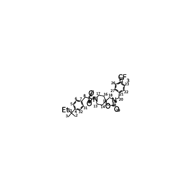 CCC(C)(C)c1ccc(CS(=O)(=O)N2CCC3(CC2)CN(Cc2ccc(C(F)(F)F)cc2)C(=O)O3)cc1